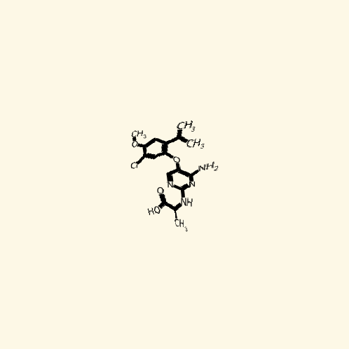 COc1cc(C(C)C)c(Oc2cnc(N[C@@H](C)C(=O)O)nc2N)cc1Cl